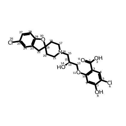 O=C(O)c1cc(Cl)c(O)cc1OC[C@@H](O)CN1CCC2(CC1)Cc1cc(Cl)ccc1O2